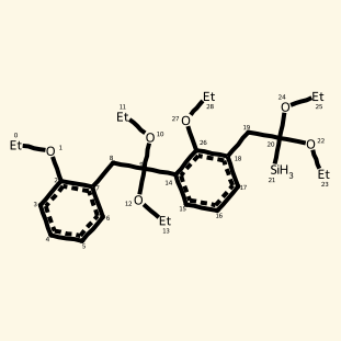 CCOc1ccccc1CC(OCC)(OCC)c1cccc(CC([SiH3])(OCC)OCC)c1OCC